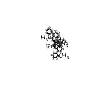 Cc1ccccc1-c1cccc2c1C=C[CH]2[Hf]([CH3])([CH3])([CH3])(=[CH]CC(C)C)[CH]1C=Cc2c(-c3ccccc3C)cccc21